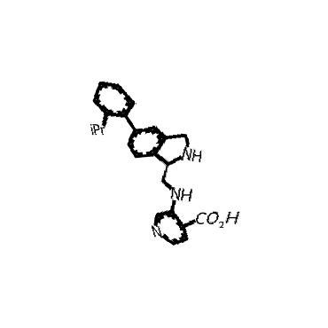 CC(C)c1ccccc1-c1ccc2c(c1)CN[C@H]2CNc1cnccc1C(=O)O